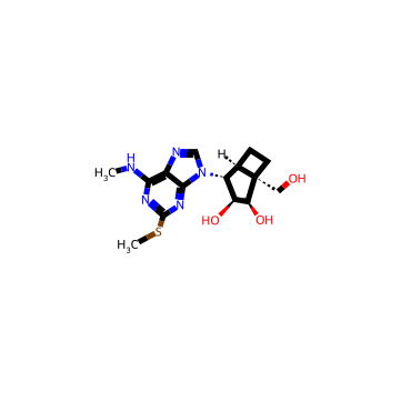 CNc1nc(SC)nc2c1ncn2[C@H]1[C@H](O)[C@H](O)[C@]2(CO)CC[C@H]12